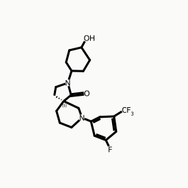 O=C1N(C2CCC(O)CC2)CC[C@]12CCCN(c1cc(F)cc(C(F)(F)F)c1)C2